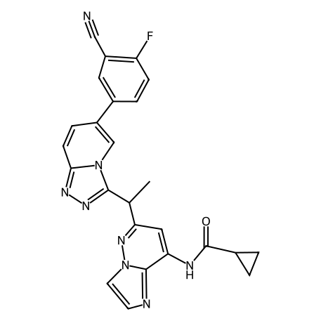 CC(c1cc(NC(=O)C2CC2)c2nccn2n1)c1nnc2ccc(-c3ccc(F)c(C#N)c3)cn12